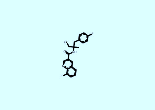 CC(C)CC(C)(Cc1ccc(F)cc1)NC(=O)c1cnc2c(F)cccc2c1